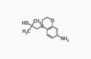 CC(C)(O)CN1CCOc2cc(N)ccc21